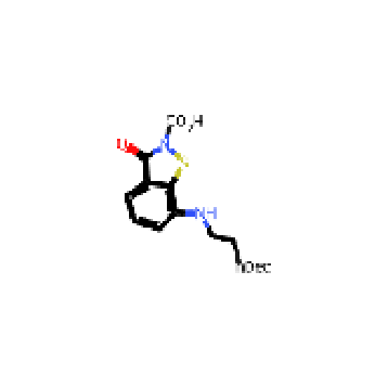 CCCCCCCCCCCCNc1cccc2c(=O)n(C(=O)O)sc12